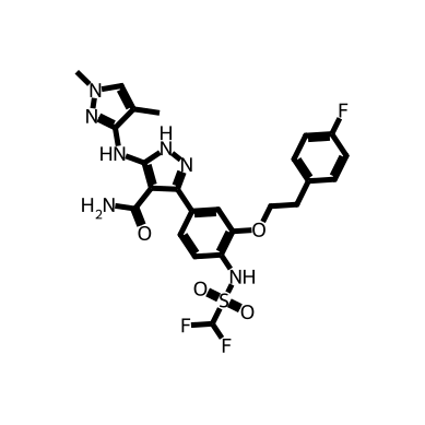 Cc1cn(C)nc1Nc1[nH]nc(-c2ccc(NS(=O)(=O)C(F)F)c(OCCc3ccc(F)cc3)c2)c1C(N)=O